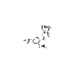 C=CN(C/C=C\C1CC=C(C)CC1C)C(=O)C1CC1